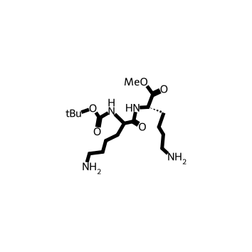 COC(=O)[C@H](CCCCN)NC(=O)C(CCCCN)NC(=O)OC(C)(C)C